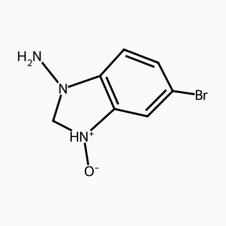 NN1C[NH+]([O-])c2cc(Br)ccc21